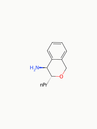 CCC[C@H]1OCc2ccccc2[C@@H]1N